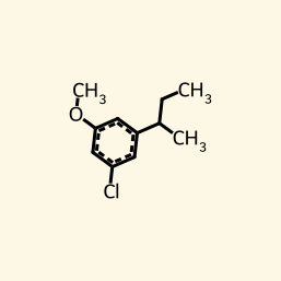 CCC(C)c1cc(Cl)cc(OC)c1